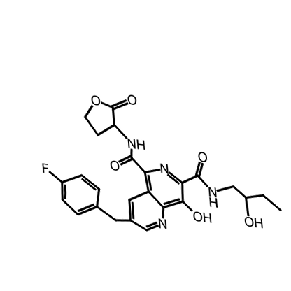 CCC(O)CNC(=O)c1nc(C(=O)NC2CCOC2=O)c2cc(Cc3ccc(F)cc3)cnc2c1O